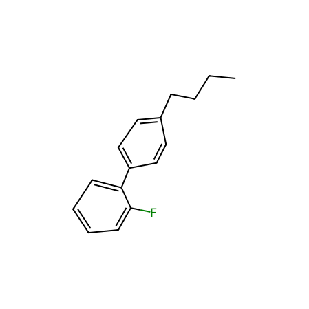 CCCCc1ccc(-c2ccccc2F)cc1